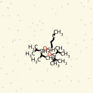 CCCCC[SiH](O[SiH](C(C)C)C(C)C)O[SiH](C(C)C)C(C)C